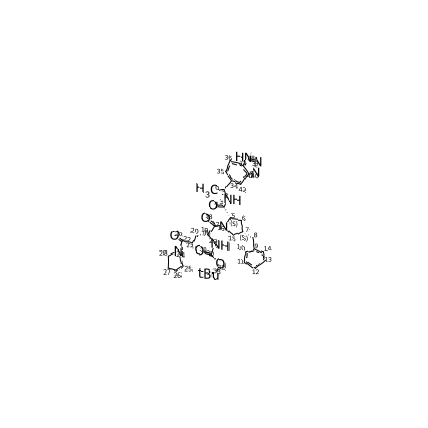 CC(NC(=O)[C@@H]1C[C@H](Cc2ccccc2)CN1C(=O)[C@@H](CCC(=O)N1CCCC1)NC(=O)OC(C)(C)C)c1ccc2[nH]nnc2c1